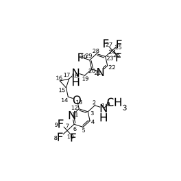 CNCc1ccc(C(F)(F)F)nc1OCC1CC1NCc1ncc(C(F)(F)F)cc1F